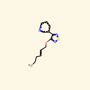 CCC/C=C/COc1nsnc1-c1cccnc1